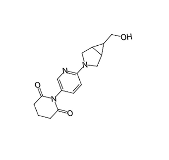 O=C1CCCC(=O)N1c1ccc(N2CC3C(CO)C3C2)nc1